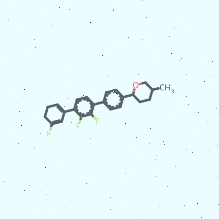 CC1CCC(c2ccc(-c3ccc(C4=CCCC(F)=C4)c(F)c3F)cc2)OC1